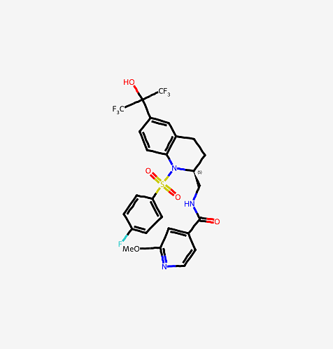 COc1cc(C(=O)NC[C@@H]2CCc3cc(C(O)(C(F)(F)F)C(F)(F)F)ccc3N2S(=O)(=O)c2ccc(F)cc2)ccn1